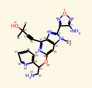 CCn1c(-c2nonc2N)nc2c(C#CC(C)(C)O)nc(OC(CN)c3ccccn3)cc21